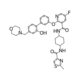 Cc1nc(C(=O)NC2CCC(NC(=O)c3cc(F)cnc3Oc3cccc(-c4ccc(CN5CCOCC5)cc4O)c3)CC2)cs1